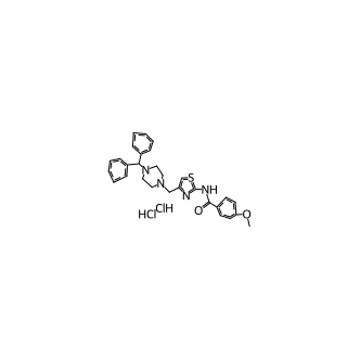 COc1ccc(C(=O)Nc2nc(CN3CCN(C(c4ccccc4)c4ccccc4)CC3)cs2)cc1.Cl.Cl